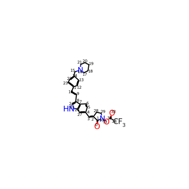 O=C1/C(=C/c2ccc3c(/C=C/c4ccc(CN5CCCCC5)cc4)c[nH]c3c2)CCN1OC(=O)C(F)(F)F